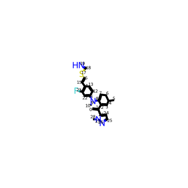 C=C(C1=CC(C)CC=C1N(C)c1ccc(/C=C/SC=N)c(F)c1)c1ccnn1C